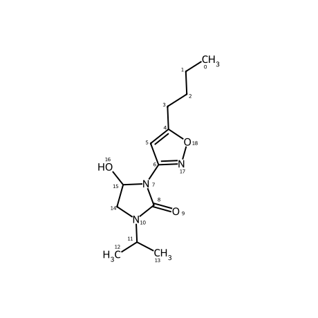 CCCCc1cc(N2C(=O)N(C(C)C)CC2O)no1